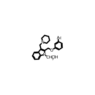 CC(=O)c1cccc(OCc2c(CN3CCCCC3)c3ccccc3n2C)c1.Cl